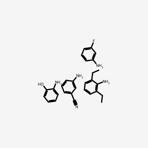 CCc1cccc(CC)c1N.N#Cc1cccc(N)c1.Nc1cccc(F)c1.Nc1ccccc1O